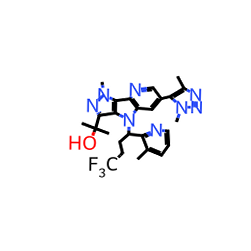 Cc1cccnc1C(CCC(F)(F)F)n1c2cc(-c3c(C)nnn3C)cnc2c2c1c(C(C)(C)O)nn2C